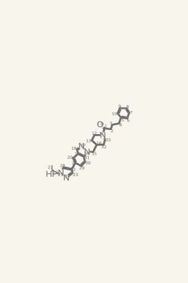 O=C(CCCc1ccccc1)N1CCC(Cn2ncc3cc(-c4cnn(PI)c4)ccc32)CC1